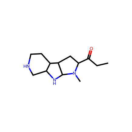 CCC(=O)C1CC2C3CCNCC3NC2N1C